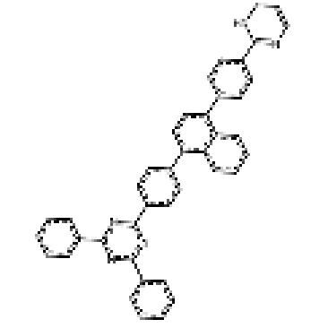 C1=CN=C(c2ccc(-c3ccc(-c4ccc(-c5nc(-c6ccccc6)nc(-c6ccccc6)n5)cc4)c4ccccc34)cc2)NC1